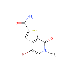 Cn1cc(Br)c2cc(C(N)=O)sc2c1=O